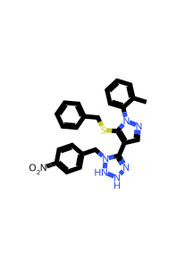 Cc1ccccc1-n1ncc(C2=NNNN2Cc2ccc([N+](=O)[O-])cc2)c1SCc1ccccc1